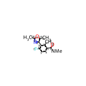 CNC(=O)c1ccc(F)c(-c2nc(C)oc2C)c1C